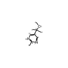 COC(C)(C)c1cnc(C)nc1